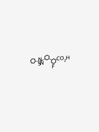 O=C(O)c1cc(F)cc(-c2cccc(-c3nsc(-c4ccccc4)n3)c2)c1